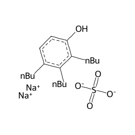 CCCCc1ccc(O)c(CCCC)c1CCCC.O=S(=O)([O-])[O-].[Na+].[Na+]